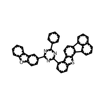 c1ccc(-c2nc(-c3ccc4oc5ccccc5c4c3)nc(-c3cccc4sc5c6c(ccc5c34)-c3cccc4cccc-6c34)n2)cc1